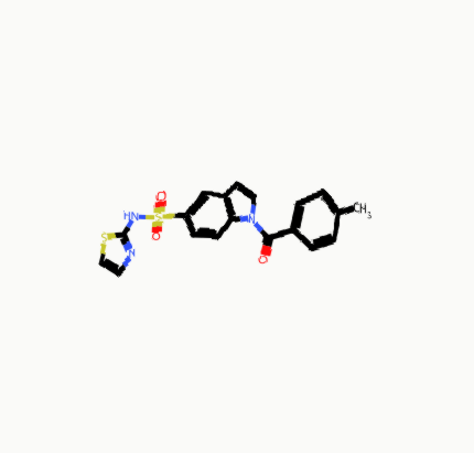 Cc1ccc(C(=O)n2ccc3cc(S(=O)(=O)Nc4nccs4)ccc32)cc1